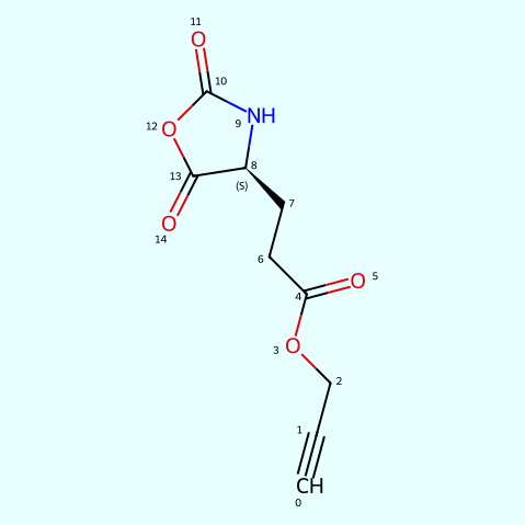 C#CCOC(=O)CC[C@@H]1NC(=O)OC1=O